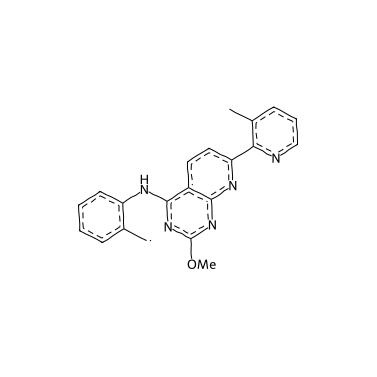 [CH2]c1ccccc1Nc1nc(OC)nc2nc(-c3ncccc3C)ccc12